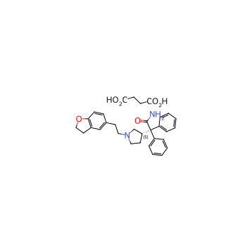 NC(=O)C(c1ccccc1)(c1ccccc1)[C@@H]1CCN(CCc2ccc3c(c2)CCO3)C1.O=C(O)CCC(=O)O